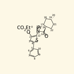 CCOC(=O)Oc1cc(-c2ccccc2)sc1N(C(=O)[C@H]1CC[C@H](C)CC1)C(C)C